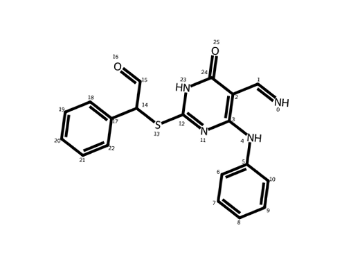 N=Cc1c(Nc2ccccc2)nc(SC(C=O)c2ccccc2)[nH]c1=O